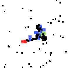 OCCNCCCc1cc(Nc2n[nH]c3ncccc23)nc(-c2ccccc2C(F)(F)F)n1